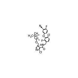 C[Si](C)(C)CCOCn1cnc(Cl)c1C(=O)NCc1ccc(Cl)c(Oc2ccc(F)c(C#N)c2)c1F